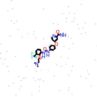 CNC(=O)c1cc(Oc2ccc(NC(=O)Nc3cccc(C(F)(F)F)c3OCCN(C)C)cc2)ccn1